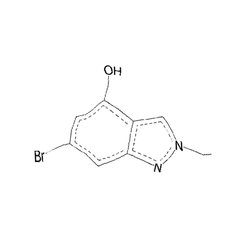 Cn1cc2c(O)cc(Br)cc2n1